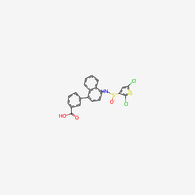 O=C(O)c1cccc(-c2ccc(N[S+]([O-])c3cc(Cl)sc3Cl)c3ccccc23)c1